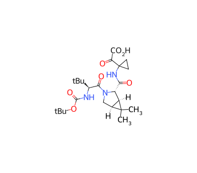 CC(C)(C)OC(=O)N[C@H](C(=O)N1C[C@H]2[C@@H]([C@H]1C(=O)NC1(C(=O)C(=O)O)CC1)C2(C)C)C(C)(C)C